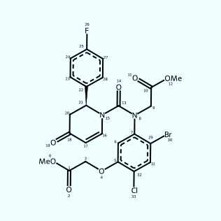 COC(=O)COc1cc(N(CC(=O)OC)C(=O)N2C=CC(=O)C[C@H]2c2ccc(F)cc2)c(Br)cc1Cl